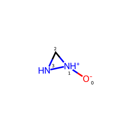 [O-][NH+]1CN1